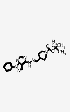 CC(C)(C)OC(=O)N1CCC(C=NNc2ncnc3c2cnn3-c2ccccc2)CC1